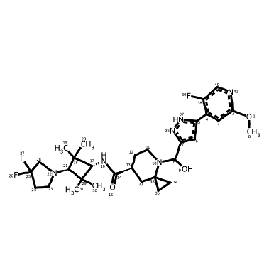 COc1cc(-c2cc(C(O)N3CC[C@H](C(=O)N[C@H]4C(C)(C)[C@H](N5CCC(F)(F)C5)C4(C)C)CC34CC4)n[nH]2)c(F)cn1